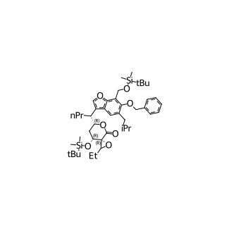 CCCC(c1coc2c(CO[Si](C)(C)C(C)(C)C)c(OCc3ccccc3)c(CC(C)C)cc12)[C@H]1C[C@@H](O[Si](C)(C)C(C)(C)C)[C@@]2(OC2CC)C(=O)O1